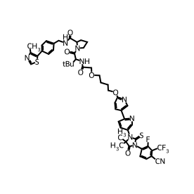 Cc1ncsc1-c1ccc(CNC(=O)C2CCCN2C(=O)C(NC(=O)COCCCCOc2ccc(-c3ccc(N4C(=S)N(c5ccc(C#N)c(C(F)(F)F)c5F)C(=O)C4(C)C)cn3)cn2)C(C)(C)C)cc1